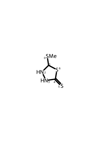 CSC1NNC(=S)S1